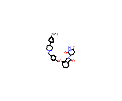 COc1ccc(C2CCN(Cc3ccc(COC4=C5CN(C6CCC(=O)NC6=O)C(=O)C5=CC=CC4)cc3)CC2)cc1